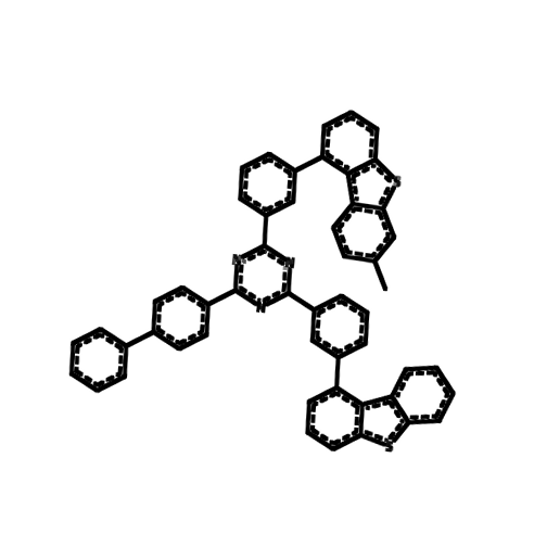 Cc1ccc2c(c1)sc1cccc(-c3cccc(-c4nc(-c5ccc(-c6ccccc6)cc5)nc(-c5cccc(-c6cccc7sc8ccccc8c67)c5)n4)c3)c12